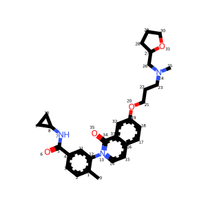 Cc1ccc(C(=O)NC2CC2)cc1-n1ccc2ccc(OCCCN(C)CC3CCCO3)cc2c1=O